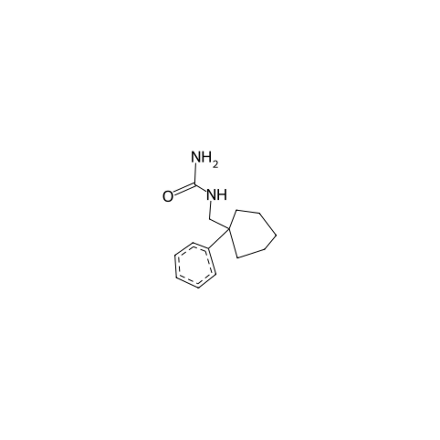 NC(=O)NCC1(c2ccccc2)CCCCC1